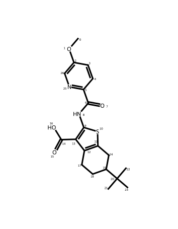 COc1ccc(C(=O)Nc2sc3c(c2C(=O)O)CCC(C(C)(C)C)C3)nc1